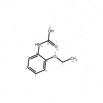 CCOc1ccccc1NC(=O)O